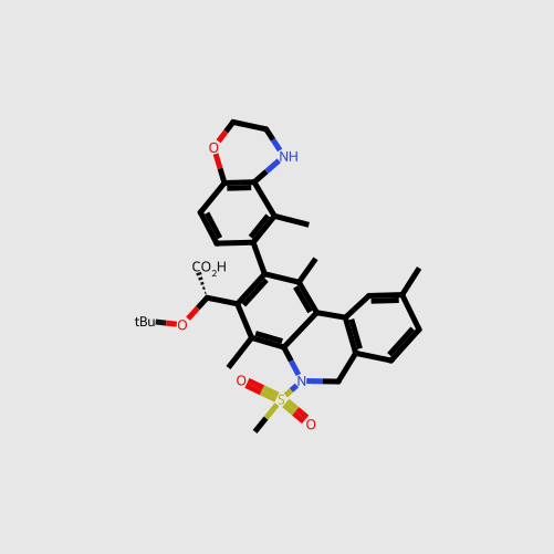 Cc1ccc2c(c1)-c1c(C)c(-c3ccc4c(c3C)NCCO4)c([C@H](OC(C)(C)C)C(=O)O)c(C)c1N(S(C)(=O)=O)C2